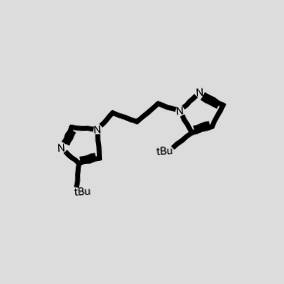 CC(C)(C)c1cn(CCCn2nccc2C(C)(C)C)cn1